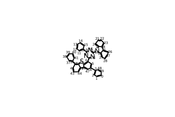 c1ccc(-c2cc(-c3nc(-c4ccccc4)nc(-n4c5ccccc5c5ccccc54)n3)c3sc4c(-c5ccccc5)cccc4c3c2)cc1